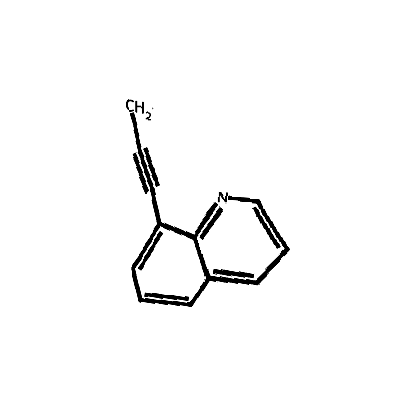 [CH2]C#Cc1cccc2cccnc12